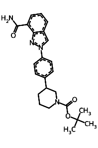 CC(C)(C)OC(=O)N1CCCC(c2ccc(-n3cc4cccc(C(N)=O)c4n3)cc2)C1